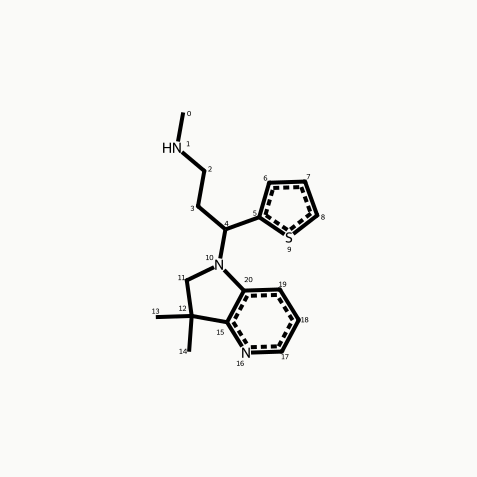 CNCCC(c1cccs1)N1CC(C)(C)c2ncccc21